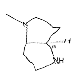 CN1CC[C@H]2NCCC21